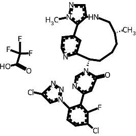 C[C@@H]1CCC[C@H](n2cnc(-c3c(-n4cc(Cl)nn4)ccc(Cl)c3F)cc2=O)c2cc(ccn2)-c2c(cnn2C)NC1.O=C(O)C(F)(F)F